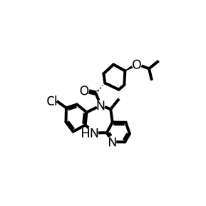 CC(C)O[C@H]1CC[C@H](C(=O)N2c3cc(Cl)ccc3Nc3ncccc3C2C)CC1